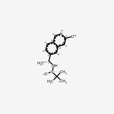 C[C@@H](N[S@+]([O-])C(C)(C)C)c1ccc2cnc(Cl)cc2c1